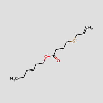 C=CCSCCCC(=O)OCCC=CCC